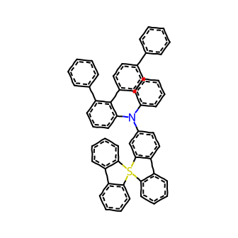 c1ccc(-c2ccc(-c3c(-c4ccccc4)cccc3N(c3ccccc3)c3ccc4c(c3)S3(c5ccccc5-c5ccccc53)c3ccccc3-4)cc2)cc1